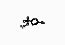 CCC(C)c1ccc(S(=O)(=O)ON)cc1